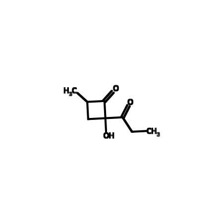 CCC(=O)C1(O)CC(C)C1=O